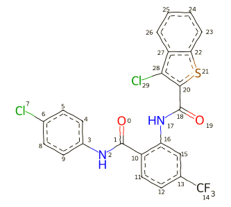 O=C(Nc1ccc(Cl)cc1)c1ccc(C(F)(F)F)cc1NC(=O)c1sc2ccccc2c1Cl